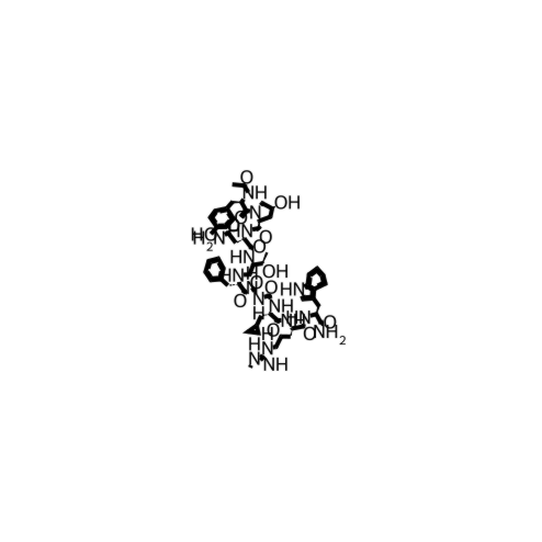 CNC(=N)NCCC[C@H](NC(=O)[C@H](CC1CC1)NC(=O)NNC(=O)[C@H](Cc1ccccc1)NC(=O)[C@@H](NC(=O)[C@H](CC(N)=O)NC(=O)[C@@H]1C[C@@H](O)CN1C(=O)[C@@H](Cc1ccc(O)cc1)NC(C)=O)[C@@H](C)O)C(=O)N[C@@H](Cc1c[nH]c2ccccc12)C(N)=O